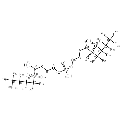 CN(CCOOP(=O)(O)OOCCN(C)S(=O)(=O)C(F)(F)C(F)(F)C(F)(F)C(F)(F)F)S(=O)(=O)C(F)(F)C(F)(F)C(F)(F)C(F)(F)F